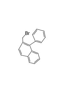 BrCc1ccc2ccccc2c1-c1ccccc1